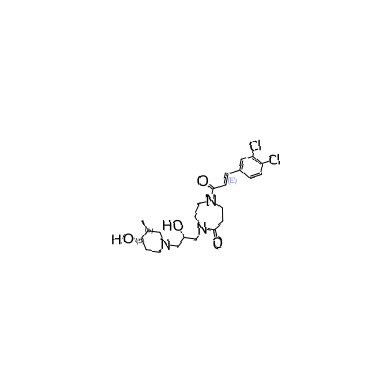 C[C@H]1CN(CC(O)CN2CCN(C(=O)/C=C/c3ccc(Cl)c(Cl)c3)CCC2=O)CC[C@@H]1O